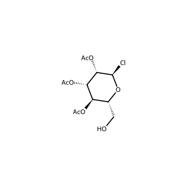 CC(=O)O[C@@H]1[C@H](OC(C)=O)[C@@H](Cl)O[C@H](CO)[C@H]1OC(C)=O